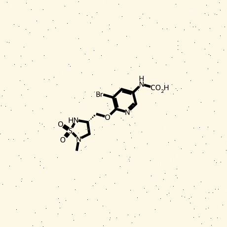 CN1C[C@@H](COc2ncc(NC(=O)O)cc2Br)NS1(=O)=O